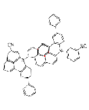 [C-]#[N+]c1cccc(N(C2=C3C=CC4=C5C(=CC=C(C=C2)C35)C(N(c2cccc(C#N)c2)c2ccc(-c3ccccc3)cc2-c2ccccc2)C=C4)c2ccc(-c3ccccc3)cc2-c2ccccc2)c1